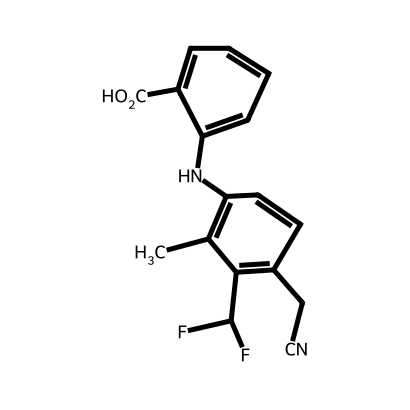 Cc1c(Nc2ccccc2C(=O)O)ccc(CC#N)c1C(F)F